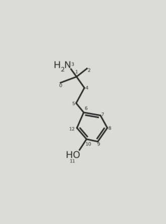 CC(C)(N)CCc1cccc(O)c1